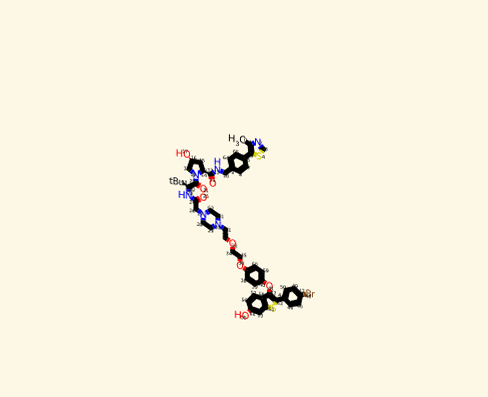 Cc1ncsc1-c1ccc(CNC(=O)[C@@H]2C[C@@H](O)CN2C(=O)[C@@H](NC(=O)CN2CCN(CCOCCOc3ccc(Oc4c(-c5ccc(Br)cc5)sc5cc(O)ccc45)cc3)CC2)C(C)(C)C)cc1